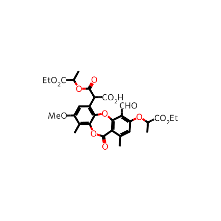 CCOC(=O)C(C)OC(=O)C(C(=O)O)c1cc(OC)c(C)c2c1Oc1c(C=O)c(OC(C)C(=O)OCC)cc(C)c1C(=O)O2